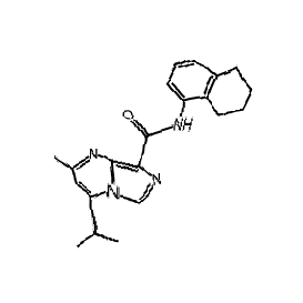 Cc1cc(C(C)C)n2cnc(C(=O)Nc3cccc4c3CCCC4)c2n1